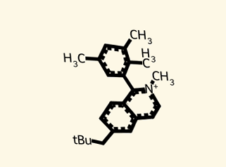 Cc1cc(C)c(C)c(-c2c3ccc(CC(C)(C)C)cc3cc[n+]2C)c1